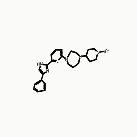 CC(C)N1CCC(N2CCCN(c3cccc(-c4nc(-c5ccccc5)c[nH]4)n3)CC2)CC1